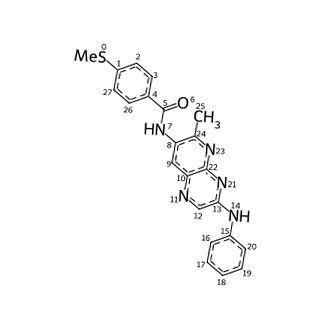 CSc1ccc(C(=O)Nc2cc3ncc(Nc4ccccc4)nc3nc2C)cc1